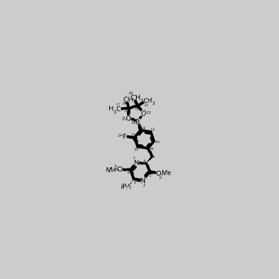 COC1=N[C@H](C(C)C)C(OC)=N[C@H]1Cc1ccc(B2OC(C)(C)C(C)(C)O2)c(F)c1